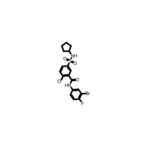 O=C(Nc1ccc(F)c(Br)c1)c1cc(S(=O)(=O)NC2CCCC2)ccc1Cl